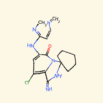 C=N/C=C\C(=N/C)Nc1cc(Cl)c2n(c1=O)C1(CCCCC1)NC2=N